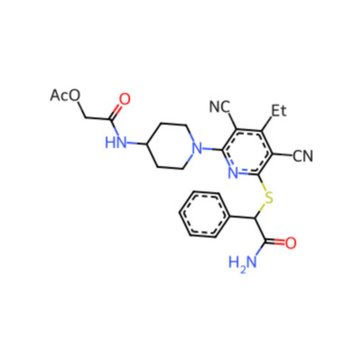 CCc1c(C#N)c(SC(C(N)=O)c2ccccc2)nc(N2CCC(NC(=O)COC(C)=O)CC2)c1C#N